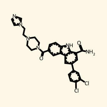 NC(=O)c1cc(-c2ccc(Cl)c(Cl)c2)cc2c1[nH]c1ccc(C(=O)N3CCN(CCn4ccnc4)CC3)cc12